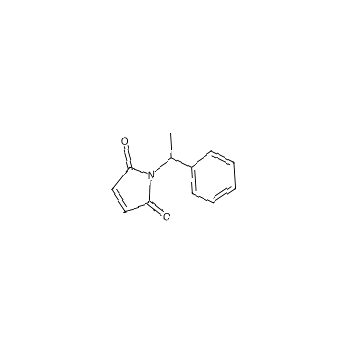 CC(c1ccccc1)N1C(=O)C=CC1=O